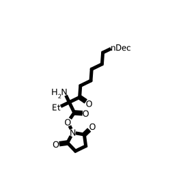 CCCCCCCCCCCCCCCC(=O)C(N)(CC)C(=O)ON1C(=O)CCC1=O